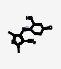 Cc1nn(C)c(N)c1/N=C1\C=CC(=O)C=C1O